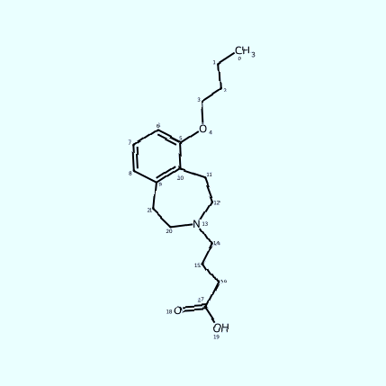 CCCCOc1cccc2c1CCN(CCCC(=O)O)CC2